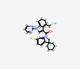 O=C(NCC1(c2ccc(F)cc2)CCCCC1)c1cn(-c2ncccn2)c2c1=C(CF)CCC=2